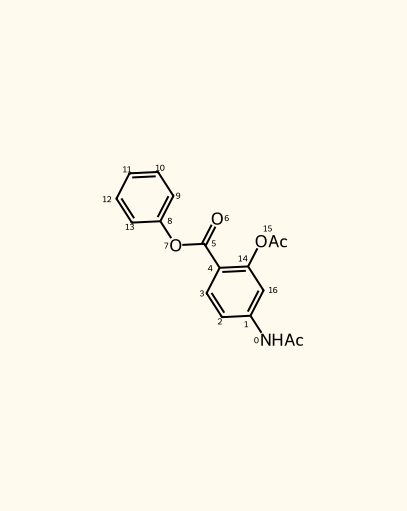 CC(=O)Nc1ccc(C(=O)Oc2ccccc2)c(OC(C)=O)c1